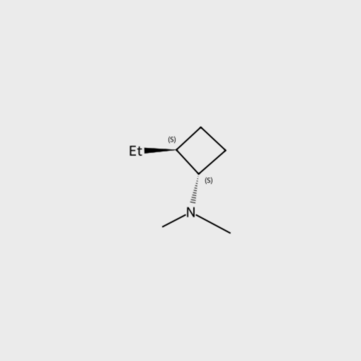 CC[C@H]1CC[C@@H]1N(C)C